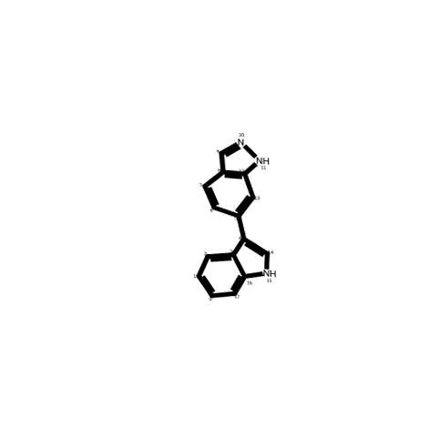 c1ccc2c(-c3ccc4cn[nH]c4c3)c[nH]c2c1